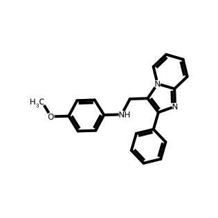 COc1ccc(NCc2c(-c3ccccc3)nc3ccccn23)cc1